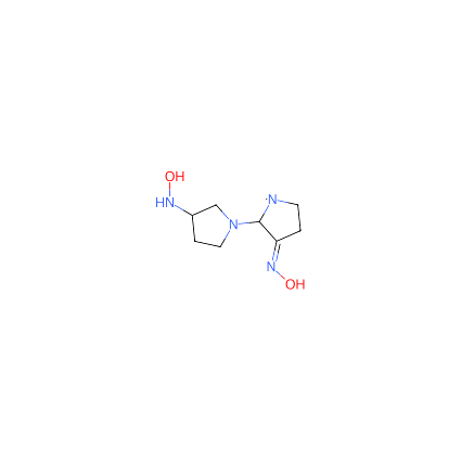 ON=C1CC[N]C1N1CCC(NO)C1